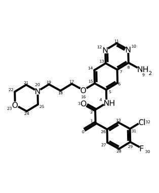 C=C(C(=O)Nc1cc2c(N)ncnc2cc1OCCCN1CCOCC1)c1ccc(F)c(Cl)c1